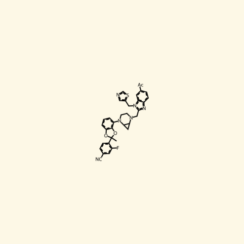 CC(=O)c1ccc2nc(CN3CCN(c4cccc5c4OC(C)(c4ccc(C#N)cc4F)O5)C4CC43)n(Cc3cncs3)c2c1